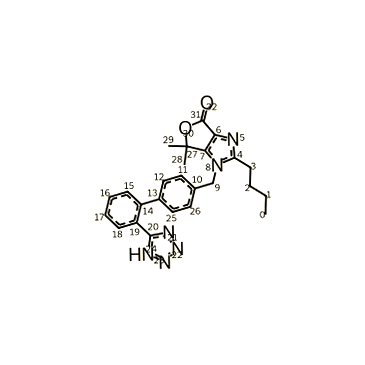 CCCCc1nc2c(n1Cc1ccc(-c3ccccc3-c3nnn[nH]3)cc1)C(C)(C)OC2=O